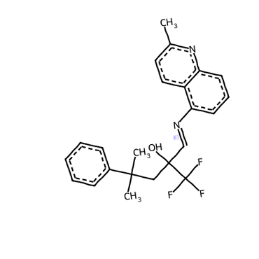 Cc1ccc2c(/N=C/C(O)(CC(C)(C)c3ccccc3)C(F)(F)F)cccc2n1